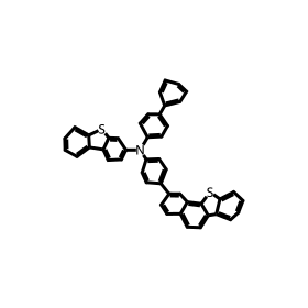 c1ccc(-c2ccc(N(c3ccc(-c4ccc5ccc6c7ccccc7sc6c5c4)cc3)c3ccc4c(c3)sc3ccccc34)cc2)cc1